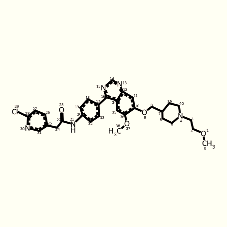 COCCN1CCC(COc2cc3ncnc(-c4ccc(NC(=O)Cc5ccc(Cl)nc5)cc4)c3cc2OC)CC1